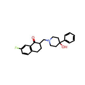 O=C1c2cc(F)ccc2CCC1CN1CCC(O)(c2ccccc2)CC1